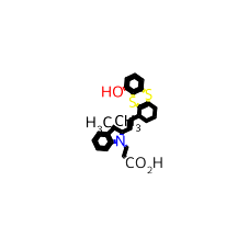 CC1(C)c2ccccc2N(CCC(=O)O)C1/C=C/C1CCCC2=C1Sc1c(O)cccc1S2